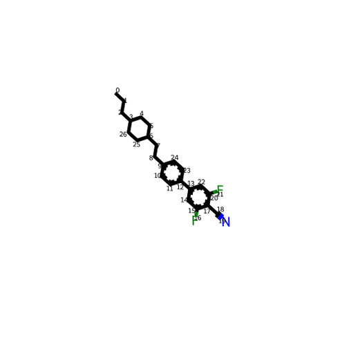 CCCC1CCC(CCc2ccc(-c3cc(F)c(C#N)c(F)c3)cc2)CC1